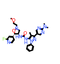 COCCN1C[C@@H](NC(=O)Nc2c(C)c(-c3cnc(N(C)C)nc3)nn2-c2ccccc2)[C@H](c2ccnc(F)c2)O1